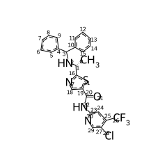 C[C@@H](NC(c1ccccc1)c1ccccc1)c1ncc(C(=O)Nc2cc(C(F)(F)F)c(Cl)cn2)s1